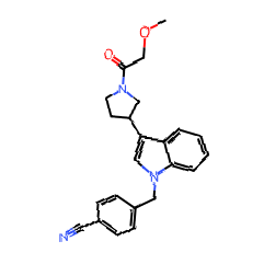 COCC(=O)N1CCC(c2cn(Cc3ccc(C#N)cc3)c3ccccc23)C1